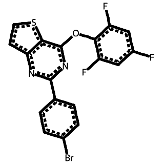 Fc1cc(F)c(Oc2nc(-c3ccc(Br)cc3)nc3ccsc23)c(F)c1